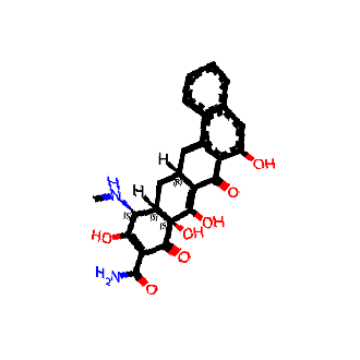 CN[C@@H]1C(O)=C(C(N)=O)C(=O)[C@@]2(O)C(O)=C3C(=O)c4c(O)cc5ccccc5c4C[C@H]3C[C@@H]12